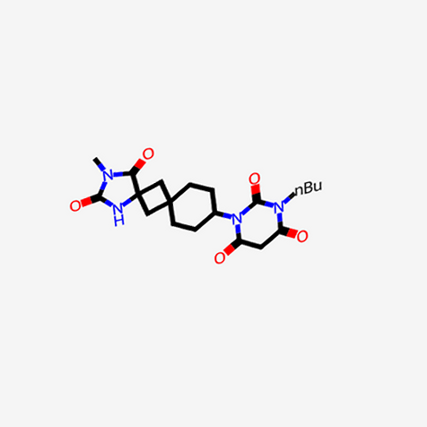 CCCCN1C(=O)CC(=O)N(C2CCC3(CC2)CC2(C3)NC(=O)N(C)C2=O)C1=O